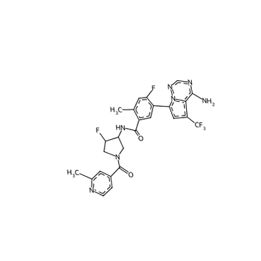 Cc1cc(C(=O)N2CC(F)C(NC(=O)c3cc(-c4cc(C(F)(F)F)c5c(N)ncnn45)c(F)cc3C)C2)ccn1